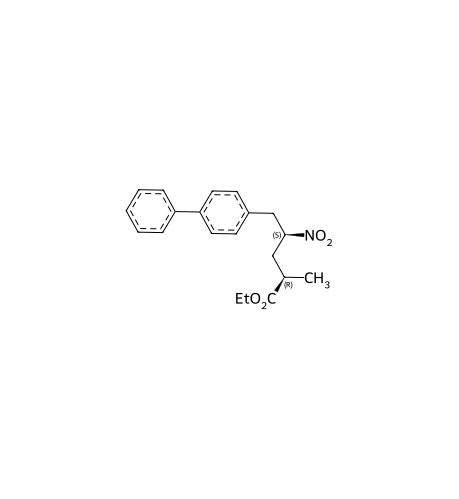 CCOC(=O)[C@H](C)C[C@@H](Cc1ccc(-c2ccccc2)cc1)[N+](=O)[O-]